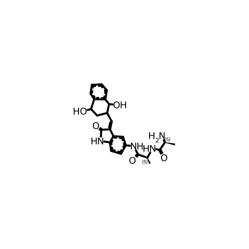 C[C@H](N)C(=O)N[C@@H](C)C(=O)Nc1ccc2c(c1)C(=CC1CC(O)c3ccccc3C1O)C(=O)N2